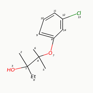 [CH2]CC(C)(O)C(C)(C)Oc1cccc(Cl)c1